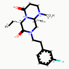 CC(C)C[C@H]1C(=O)N(CCc2cccc(F)c2)C[C@@H]2N(C(=O)O)CCC(=O)N21